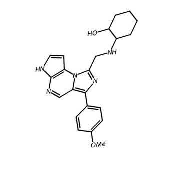 COc1ccc(-c2nc(CNC3CCCCC3O)n3c2cnc2[nH]ccc23)cc1